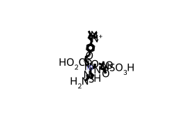 Cc1cc(-c2ccc(OC[C@H](O/N=C(\C(=O)N[C@@H]3C(=O)N(OS(=O)(=O)O)C3(C)C)c3csc(N)n3)C(=O)O)cc2)[n+](C)n1C